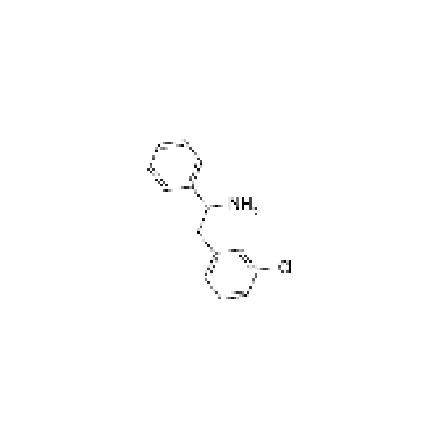 NC(Cc1cccc(Cl)c1)c1ccccc1